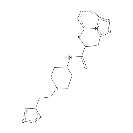 O=C(NC1CCN(CCc2ccsc2)CC1)C1=Cc2cnc3cccc(n23)S1